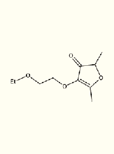 CCOCCOC1=C(C)OC(C)C1=O